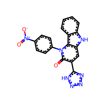 O=c1c(-c2nnn[nH]2)cc2[nH]c3ccccc3c2n1-c1ccc([N+](=O)[O-])cc1